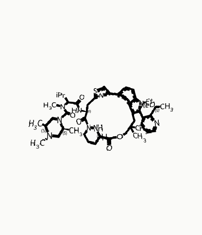 CCn1c(-c2cccnc2[C@H](C)OC)c2c3cc(ccc31)-c1csc(n1)C[C@H](NC(=O)C(C(C)C)N(C)C(=O)N1C[C@H](C)N(C)C[C@@H]1C)C(=O)N1CCC[C@H](N1)C(=O)OCC(C)(C)C2